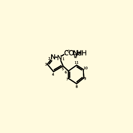 O=C(O)n1nccc1-c1ccccc1.[NaH]